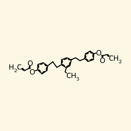 C=CC(=O)Oc1ccc(CCc2ccc(CCc3ccc(OC(=O)C=C)cc3)c(CC)c2)cc1